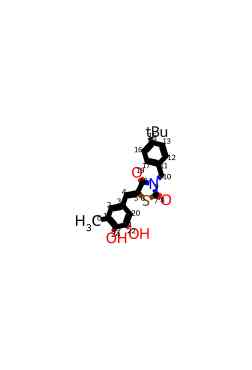 Cc1cc(/C=C2\SC(=O)N(Cc3ccc(C(C)(C)C)cc3)C2=O)cc(O)c1O